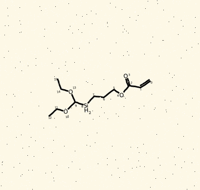 C=CC(=O)OCCC[SiH2]C(OCC)OCC